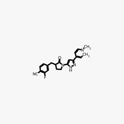 C=N/C=C\C(=C/C)c1cc(N2CCC(Cc3ccc(C#N)c(F)c3)C2=O)[nH]n1